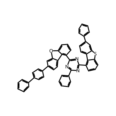 c1ccc(-c2ccc(-c3ccc4c(c3)oc3cccc(-c5nc(-c6ccccc6)nc(-c6cccc7sc8cc(-c9ccccc9)ccc8c67)n5)c34)cc2)cc1